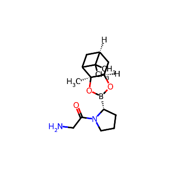 CC1(C)C2C[C@H]1C[C@H]1OB([C@@H]3CCCN3C(=O)CN)O[C@@]21C